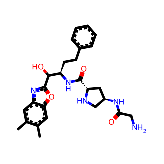 Cc1cc2nc(C(O)[C@@H](CCc3ccccc3)NC(=O)[C@@H]3C[C@@H](NC(=O)CN)CN3)oc2cc1C